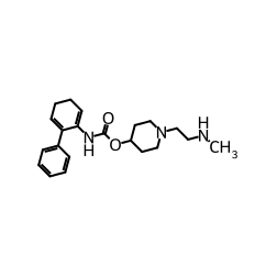 CNCCN1CCC(OC(=O)NC2=CCCC=C2c2ccccc2)CC1